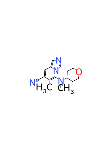 Cc1c(C#N)cc2cncn2c1N(C)C1CCOCC1